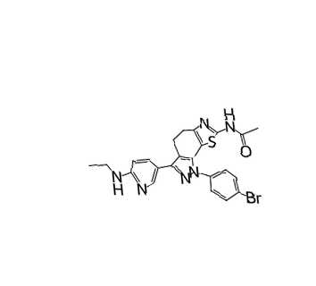 CCNc1ccc(-c2nn(-c3ccc(Br)cc3)c3c2CCc2nc(NC(C)=O)sc2-3)cn1